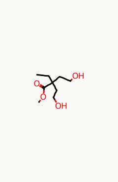 CCC(CCO)(CCO)C(=O)OC